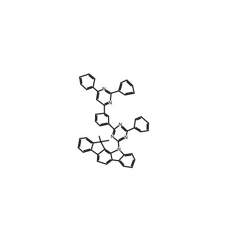 CC1(C)c2ccccc2-c2ccc3c4ccccc4n(-c4nc(-c5ccccc5)nc(-c5cccc(-c6cc(-c7ccccc7)nc(-c7ccccc7)n6)c5)n4)c3c21